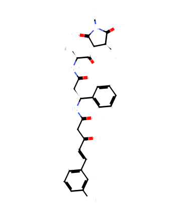 Cc1cccc(/C=C/C(=O)CC(=O)N[C@@H](CC(=O)N[C@H](C(=O)[C@@H]2C(=O)N(C)C(=O)[C@H]2C)C(C)C)c2ccccc2)c1